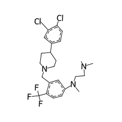 CN(C)CCN(C)c1ccc(C(F)(F)F)c(CN2CCC(c3ccc(Cl)c(Cl)c3)CC2)c1